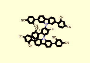 N#Cc1ccc(-c2ccc3c4ccc(-c5ccc(C#N)cc5C#N)cc4n(-c4cc(-c5ccccc5C(F)(F)F)c(-n5c6cc(-c7ccc(C#N)cc7C#N)ccc6c6ccc(-c7ccc(C#N)cc7C#N)cc65)cc4C#N)c3c2)c(C#N)c1